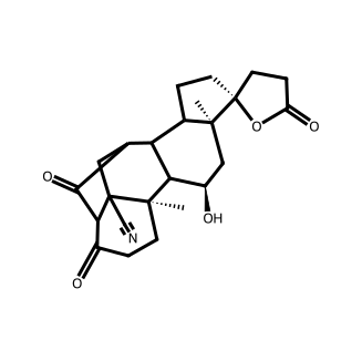 C[C@]12C[C@@H](O)C3C(C4CC5(C#N)C(C(=O)CC[C@]35C)C4=O)C1CC[C@@]21CCC(=O)O1